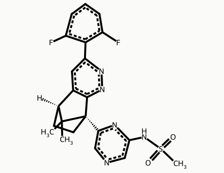 CC1(C)[C@H]2CC[C@]1(c1cncc(NS(C)(=O)=O)n1)c1nnc(-c3c(F)cccc3F)cc12